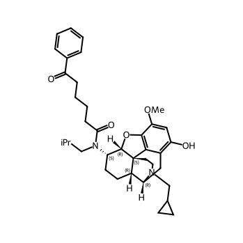 COc1cc(O)c2c3c1O[C@H]1[C@@H](N(CC(C)C)C(=O)CCCCC(=O)c4ccccc4)CC[C@H]4[C@@H](C2)N(CC2CC2)CC[C@@]341